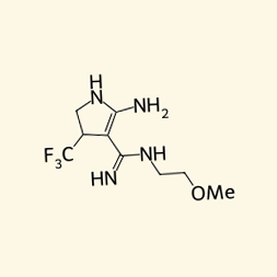 COCCNC(=N)C1=C(N)NCC1C(F)(F)F